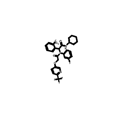 Cc1ccccc1C(C(=O)NC1CCCCC1)N(C(=O)COc1ccc(C(F)(F)F)nc1)c1cccc(F)c1